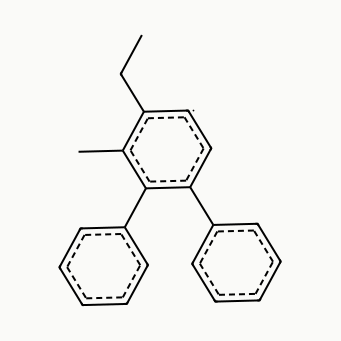 CCc1[c]cc(-c2ccccc2)c(-c2ccccc2)c1C